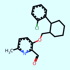 Cc1ccc(OCC2CCCCC2c2ccccc2Cl)c(C=O)n1